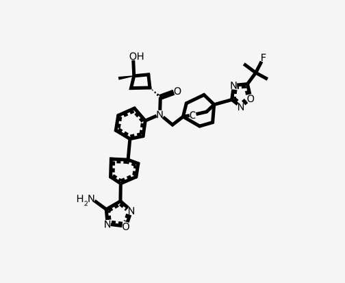 CC(C)(F)c1nc(C23CCC(CN(c4cccc(-c5ccc(-c6nonc6N)cc5)c4)C(=O)[C@H]4C[C@@](C)(O)C4)(CC2)CC3)no1